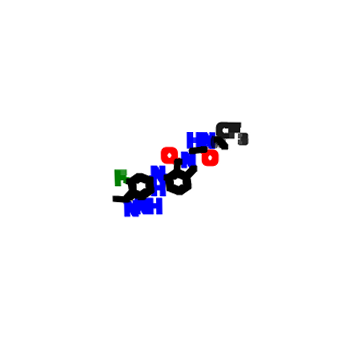 Cc1n[nH]c2cc(Nc3cccc4c3C(=O)N(CC(=O)N[C@@H](C)C(F)(F)F)C4)cc(F)c12